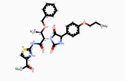 COCCOc1ccc(C2NC(=O)N([C@H](C(=O)Nc3nc(C(=O)OC)cs3)[C@@H](C)OCc3ccccc3)C2=O)cc1